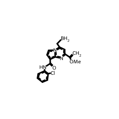 BCc1cc(C(=C)OC)nc2c(C(=O)Nc3ccccc3Cl)ccn12